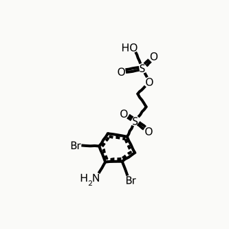 Nc1c(Br)cc(S(=O)(=O)CCOS(=O)(=O)O)cc1Br